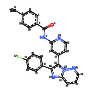 CC(C)(C)c1ccc(C(=O)Nc2cc(-c3c(-c4ccc(F)cc4)nc4cccnn34)ccn2)cc1